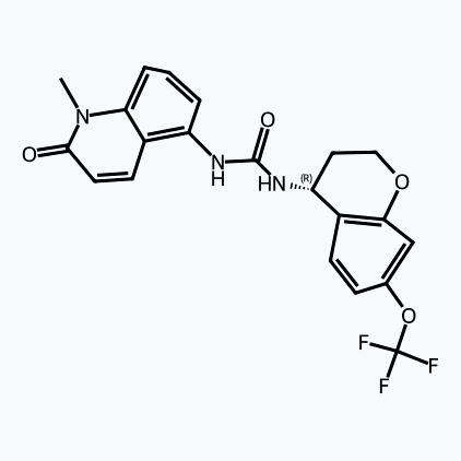 Cn1c(=O)ccc2c(NC(=O)N[C@@H]3CCOc4cc(OC(F)(F)F)ccc43)cccc21